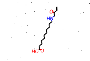 C=CC(=O)CNCCCCCCCCCCC(=O)O